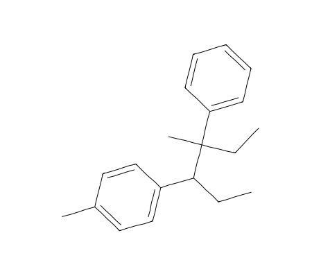 CCC(c1ccc(C)cc1)C(C)(CC)c1ccccc1